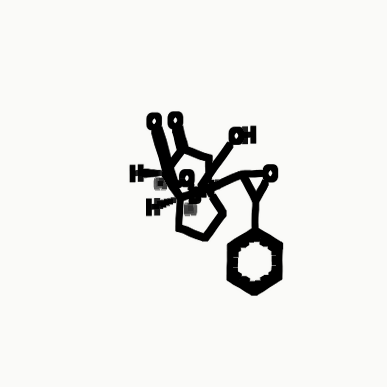 O=C1C[N+]23CCC[C@H]2[C@H]1C(=O)O[B-]3(O)C1OC1c1ccccc1